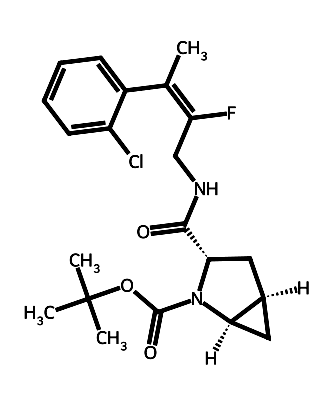 C/C(=C(\F)CNC(=O)[C@@H]1C[C@H]2C[C@H]2N1C(=O)OC(C)(C)C)c1ccccc1Cl